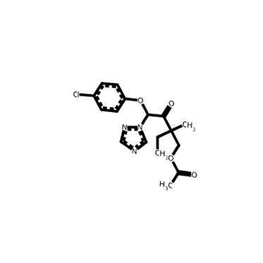 CCC(C)(COC(C)=O)C(=O)C(Oc1ccc(Cl)cc1)n1cncn1